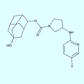 O=C(OC1C2CC3CC1CC(O)(C3)C2)N1CCC(Nc2ccc(F)cn2)C1